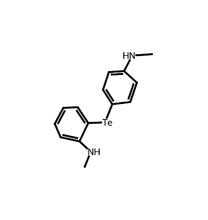 CNc1ccc([Te]c2ccccc2NC)cc1